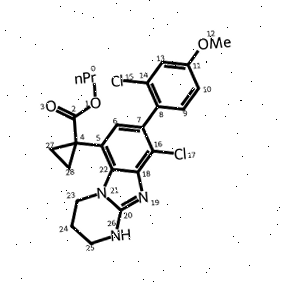 CCCOC(=O)C1(c2cc(-c3ccc(OC)cc3Cl)c(Cl)c3nc4n(c23)CCCN4)CC1